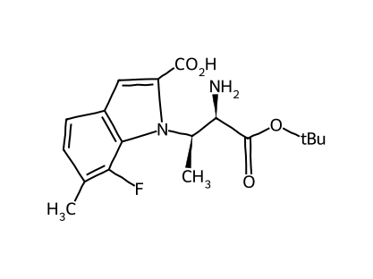 Cc1ccc2cc(C(=O)O)n([C@H](C)[C@@H](N)C(=O)OC(C)(C)C)c2c1F